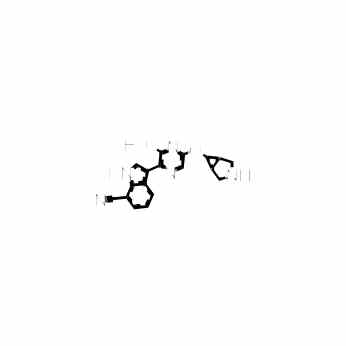 Cc1nc(OC2C3CNCC32)cnc1-c1c[nH]c2c(C#N)cccc12